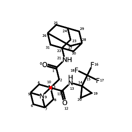 O=C(CN1CC2CC(C1)N2CC(=O)NC1(C(F)(F)F)CC1)NC12CC3CC(CC(C3)C1)C2